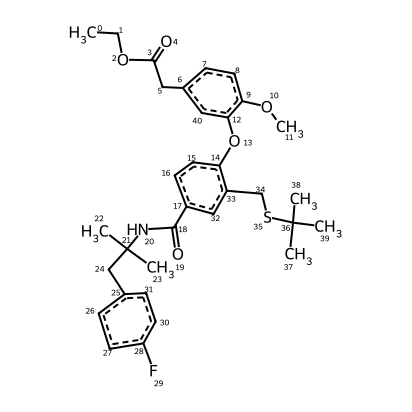 CCOC(=O)Cc1ccc(OC)c(Oc2ccc(C(=O)NC(C)(C)Cc3ccc(F)cc3)cc2CSC(C)(C)C)c1